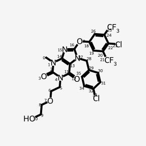 Cn1c(=O)n(CCOCCO)c(=O)c2c1nc(Oc1cc(C(F)(F)F)c(Cl)c(C(F)(F)F)c1)n2Cc1ccc(Cl)cc1